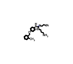 Cc1ccccc1COc1ccc(N/C(=N/CCC(C)C)NCCCN)cc1